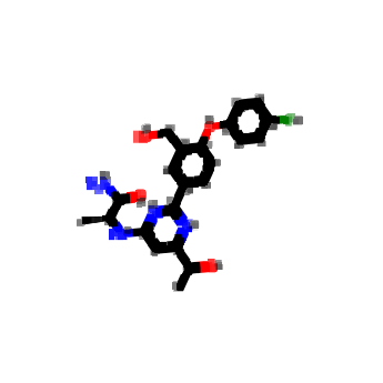 CC(=O)c1cc(N[C@@H](C)C(N)=O)nc(-c2ccc(Oc3ccc(F)cc3)c(CO)c2)n1